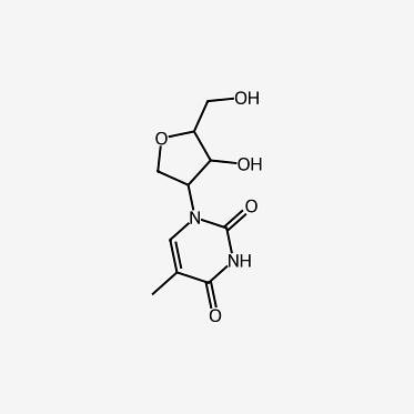 Cc1cn(C2COC(CO)C2O)c(=O)[nH]c1=O